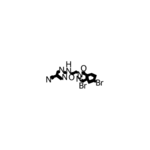 N#Cc1cnc(NC(=O)Cn2nc(Br)c3cc(Br)ccc3c2=O)nc1